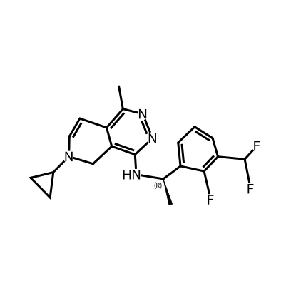 Cc1nnc(N[C@H](C)c2cccc(C(F)F)c2F)c2c1C=CN(C1CC1)C2